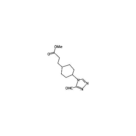 COC(=O)CCC1CCC(n2cnnc2C=O)CC1